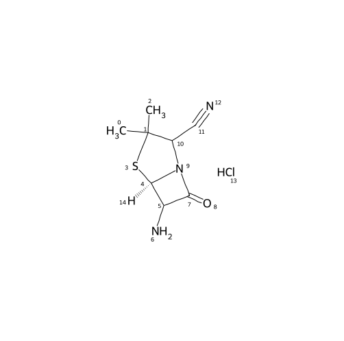 CC1(C)S[C@@H]2C(N)C(=O)N2C1C#N.Cl